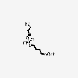 CCCCCCCCCCCCOS(=O)(=O)OOC[CH2][Na]